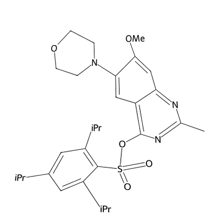 COc1cc2nc(C)nc(OS(=O)(=O)c3c(C(C)C)cc(C(C)C)cc3C(C)C)c2cc1N1CCOCC1